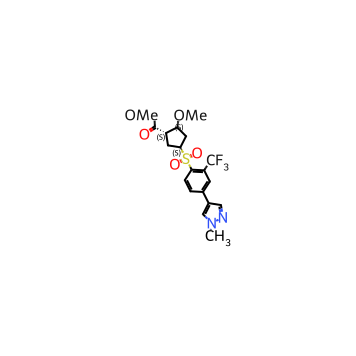 COC(=O)[C@H]1C[C@H](S(=O)(=O)c2ccc(-c3cnn(C)c3)cc2C(F)(F)F)C[C@@H]1OC